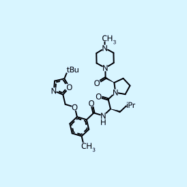 Cc1ccc(OCc2ncc(C(C)(C)C)o2)c(C(=O)N[C@H](CC(C)C)C(=O)N2CCC[C@@H]2C(=O)N2CCN(C)CC2)c1